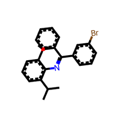 CC(C)c1cccc(C(C)C)c1N=C(c1ccccc1)c1cccc(Br)c1